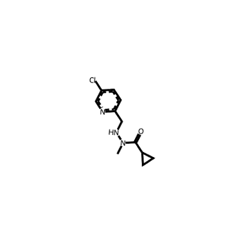 CN(NCc1ccc(Cl)cn1)C(=O)C1CC1